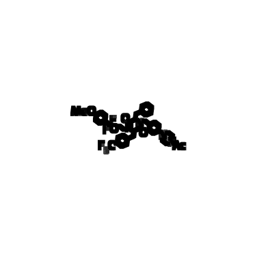 COc1ccc(C(F)(F)OCCN(C)C(=O)C(Cc2ccccc2)N(Cc2ccc(N3CCN(C(C)=O)CC3)cc2)C(=O)C=Cc2ccc(C(F)(F)F)cc2)cc1